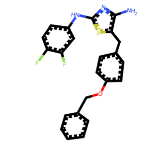 Nc1nc(Nc2ccc(F)c(F)c2)sc1Cc1ccc(OCc2ccccc2)cc1